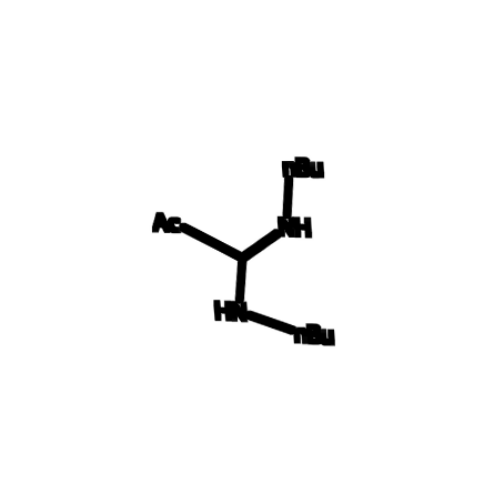 CCCCNC(NCCCC)C(C)=O